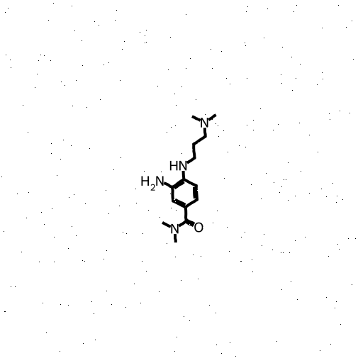 CN(C)CCCNc1ccc(C(=O)N(C)C)cc1N